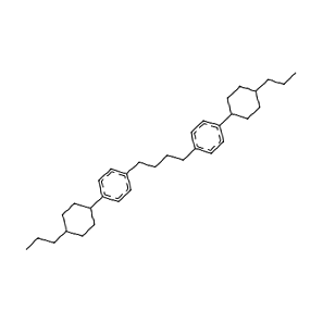 CCCC1CCC(c2ccc(CCCCc3ccc(C4CCC(CCC)CC4)cc3)cc2)CC1